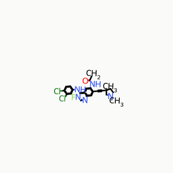 C=CC(=O)Nc1cc2c(Nc3ccc(Cl)c(Cl)c3F)ncnc2cc1C#CC1(C)CCN(C)C1